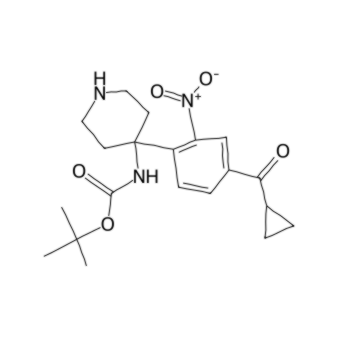 CC(C)(C)OC(=O)NC1(c2ccc(C(=O)C3CC3)cc2[N+](=O)[O-])CCNCC1